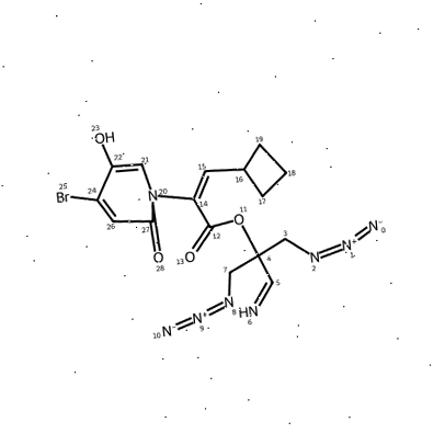 [N-]=[N+]=NCC(C=N)(CN=[N+]=[N-])OC(=O)/C(=C\C1CCC1)n1cc(O)c(Br)cc1=O